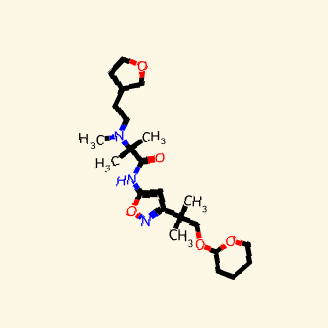 CN(CCC1CCOC1)C(C)(C)C(=O)Nc1cc(C(C)(C)COC2CCCCO2)no1